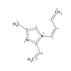 C=C/C=C\n1cc(C)nc1C=C